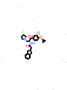 O=C(CC1Cc2ccccc2C1)NC(CN1CCC(F)C1)C(O)c1ccc(OC2CC2)c(Cl)c1